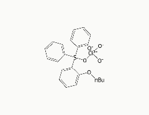 CCCCOc1ccccc1S(O[Cl+3]([O-])([O-])[O-])(c1ccccc1)c1ccccc1